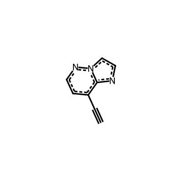 C#Cc1ccnn2ccnc12